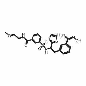 COCCNC(=O)c1cccc(S(=O)(=O)NC(Cc2cccc(/C(N)=N\O)c2)c2nccs2)c1